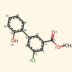 COC(=O)c1cc(Cl)cc(-c2ccccc2O)c1